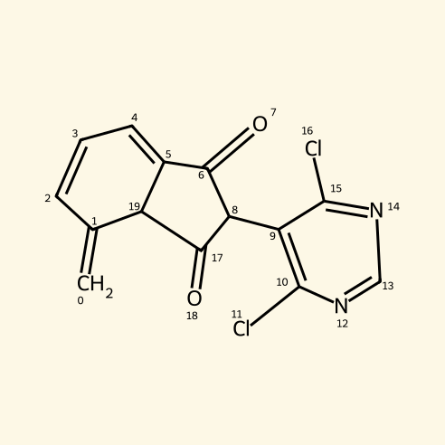 C=C1C=CC=C2C(=O)C(c3c(Cl)ncnc3Cl)C(=O)C12